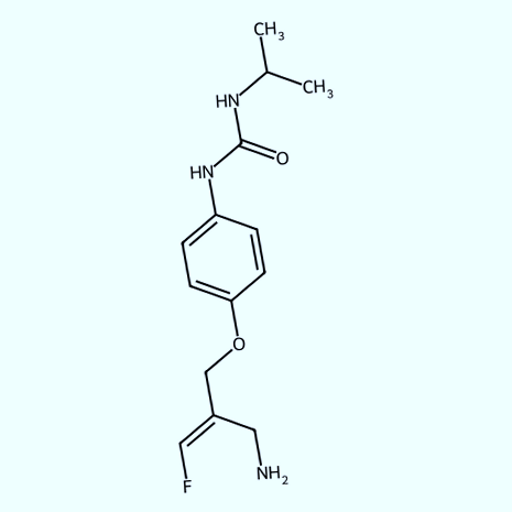 CC(C)NC(=O)Nc1ccc(OC/C(=C/F)CN)cc1